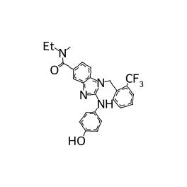 CCN(C)C(=O)c1ccc2c(c1)nc(Nc1ccc(O)cc1)n2Cc1ccccc1C(F)(F)F